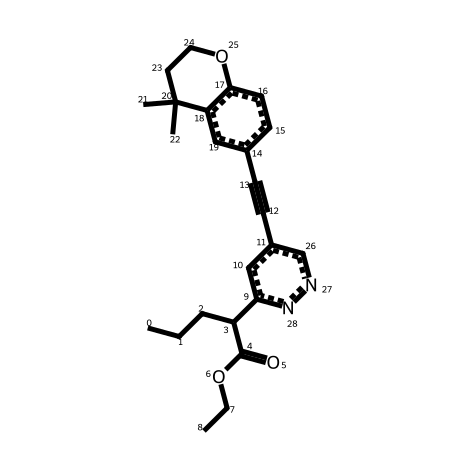 CCCC(C(=O)OCC)c1cc(C#Cc2ccc3c(c2)C(C)(C)CCO3)cnn1